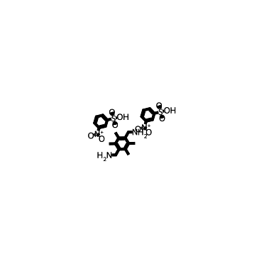 Cc1c(C)c(CN)c(C)c(C)c1CN.O=[N+]([O-])c1cccc(S(=O)(=O)O)c1.O=[N+]([O-])c1cccc(S(=O)(=O)O)c1